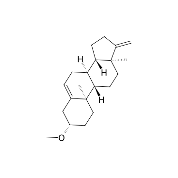 C=C1CC[C@H]2[C@@H]3CC=C4C[C@@H](OC)CC[C@]4(C)[C@H]3CC[C@]12C